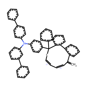 C=C1/C=C\C=C/CC(c2ccccc2)(c2ccc(N(c3ccc(-c4ccccc4)cc3)c3cccc(-c4ccccc4)c3)cc2)c2ccccc2-c2ccccc21